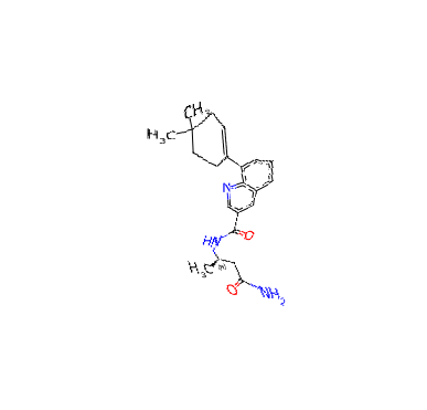 C[C@H](CC(N)=O)NC(=O)c1cnc2c(C3=CCC(C)(C)CC3)cccc2c1